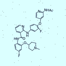 CC(=O)Nc1cc(Oc2ccc(Nc3ncccc3C(=O)Nc3ccc(F)cc3OC3CCN(C)CC3)cc2F)ccn1